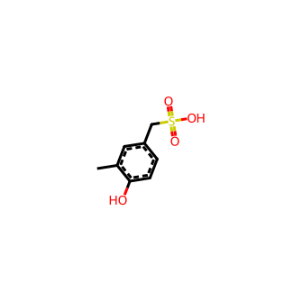 Cc1cc(CS(=O)(=O)O)ccc1O